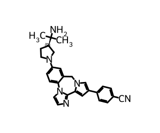 CC(C)(N)[C@@H]1CCN(c2ccc3c(c2)Cn2cc(-c4ccc(C#N)cc4)cc2-c2nccn2-3)C1